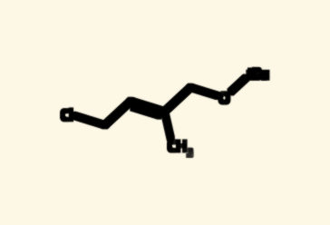 C/C(=C\CCl)COC(C)(C)C